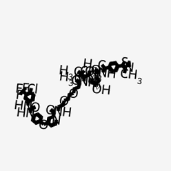 Cc1ncsc1-c1ccc(C(C)NC(=O)[C@H]2C[C@H](O)CN2C(=O)C(NC(=O)CCOCCOCCNC(=O)c2cc(Oc3ccc(NC(=O)Nc4ccc(Cl)c(C(F)(F)F)c4)cc3)ccn2)C(C)(C)C)cc1